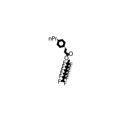 CCC[C@H]1CC[C@H](CCC(=O)OCC(F)(F)C(F)(F)C(F)(F)C(F)(F)C(F)(F)C(F)F)CC1